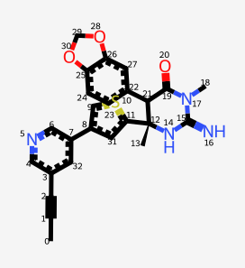 CC#Cc1cncc(-c2csc([C@@]3(C)NC(=N)N(C)C(=O)C3c3ccc4c(c3)OCO4)c2)c1